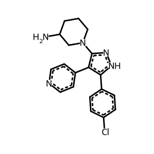 NC1CCCN(c2n[nH]c(-c3ccc(Cl)cc3)c2-c2ccncc2)C1